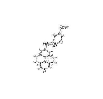 CCCCCCCCCCc1ccnc(Nc2cc3ccc4cccc5ccc(c2)c3c45)c1